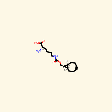 N[C@@H](CCCCNC(=O)OC[C@@H]1[C@@H]2CCC#CCC[C@@H]21)C(=O)O